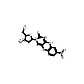 CCN(CC)c1ccc2c(c1)Nc1nc(=O)n(C3C[C@@H](O)C(CO)O3)cc1S2